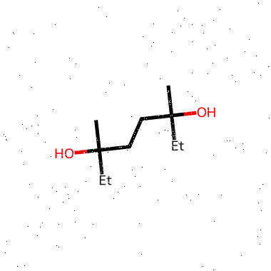 CCC(C)(O)CCC(C)(O)CC